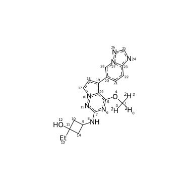 [2H]C([2H])([2H])Oc1nc(NC2CC(O)(CC)C2)nn2ccc(-c3ccc4ncnn4c3)c12